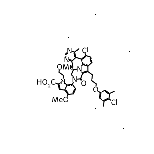 COCCn1c(C(=O)O)cc2c(OC)ccc(N3C[C@@H](C)n4c(c(CCCOc5cc(C)c(Cl)c(C)c5)c5ccc(Cl)c(-c6c(C)ncnc6C)c54)C3=O)c21